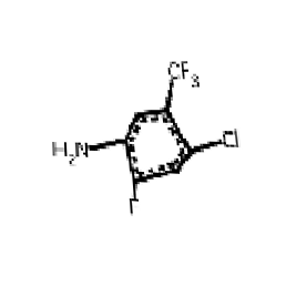 Nc1cc(C(F)(F)F)c(Cl)cc1F